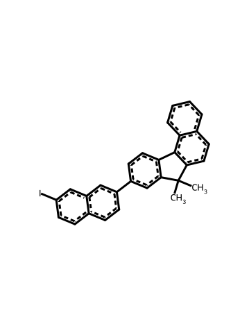 CC1(C)c2cc(-c3ccc4ccc(I)cc4c3)ccc2-c2c1ccc1ccccc21